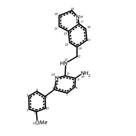 COc1cccc(-c2ccc(N)c(NCc3ccc4ncccc4c3)n2)c1